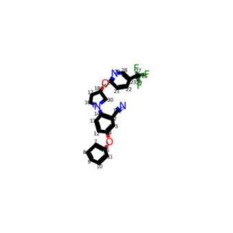 N#Cc1cc(Oc2ccccc2)ccc1N1CCC(Oc2ccc(C(F)(F)F)cn2)C1